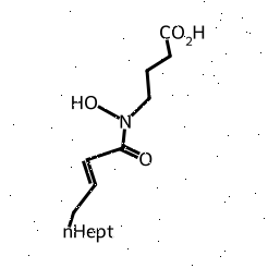 CCCCCCCCC=CC(=O)N(O)CCCC(=O)O